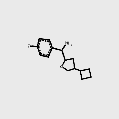 NC(c1ccc(F)cc1)C1CC(C2CCC2)CO1